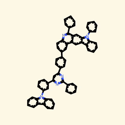 c1ccc(-c2nc(-c3ccc(-c4ccc5nc(-c6ccccc6)c6cc7c(cc6c5c4)c4ccccc4n7-c4ccccc4)cc3)cc(-c3cccc(-n4c5ccccc5c5ccccc54)c3)n2)cc1